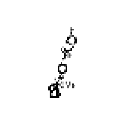 COC1(OO[C@H]2CC[C@@H](CNC(=O)CN3CCNCC3)CC2)C2CC3CC(C2)CC1C3